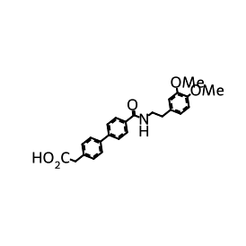 COc1ccc(CCNC(=O)c2ccc(-c3ccc(CC(=O)O)cc3)cc2)cc1OC